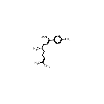 COC(=CC[C@H](C)CCC=C(C)C)c1ccc(C)cc1